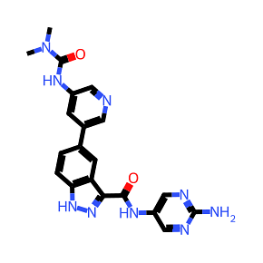 CN(C)C(=O)Nc1cncc(-c2ccc3[nH]nc(C(=O)Nc4cnc(N)nc4)c3c2)c1